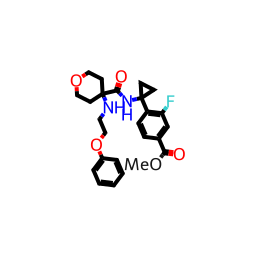 COC(=O)c1ccc(C2(NC(=O)C3(NCCOc4ccccc4)CCOCC3)CC2)c(F)c1